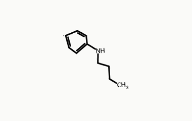 CCCCNc1cc[c]cc1